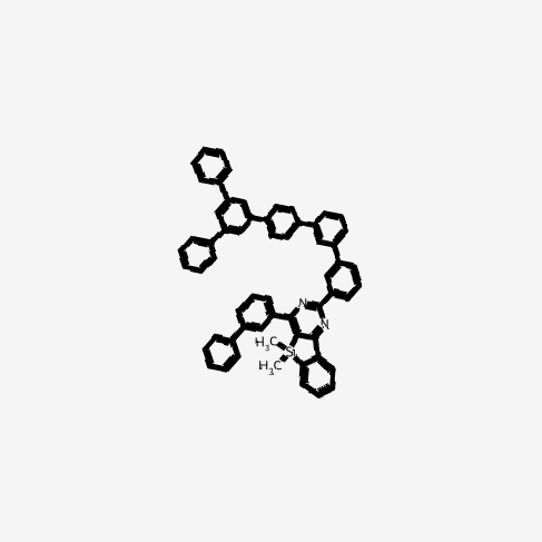 C[Si]1(C)c2ccccc2-c2nc(-c3cccc(-c4cccc(-c5ccc(-c6cc(-c7ccccc7)cc(-c7ccccc7)c6)cc5)c4)c3)nc(-c3cccc(-c4ccccc4)c3)c21